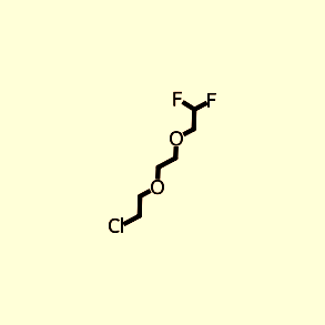 FC(F)COCCOCCCl